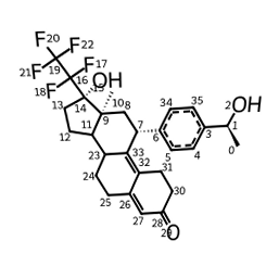 C[C@H](O)c1ccc([C@H]2C[C@@]3(C)C(CC[C@@]3(O)C(F)(F)C(F)(F)F)C3CCC4=CC(=O)CCC4=C32)cc1